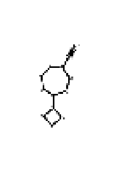 N#CC1CCCC(C2CCC2)CC1